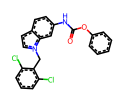 O=C(Nc1ccc2ccn(Cc3c(Cl)cccc3Cl)c2c1)Oc1ccccc1